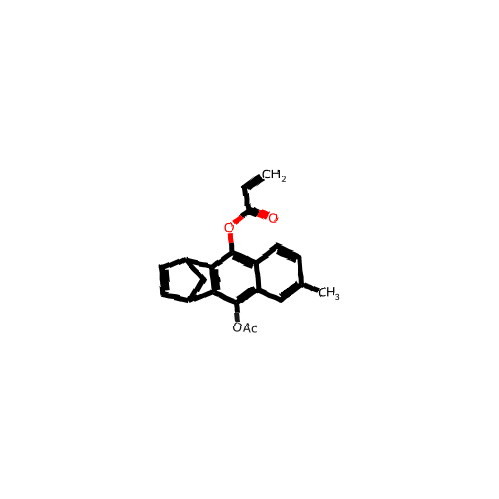 C=CC(=O)Oc1c2c(c(OC(C)=O)c3cc(C)ccc13)C1C=CC2C1